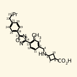 Cc1cc(CNC2CC(C(=O)O)C2)ccc1-c1noc(-c2ccc(CC(C)C)cc2)n1